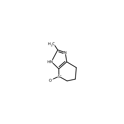 Cc1nc2c([nH]1)[S+]([O-])CCC2